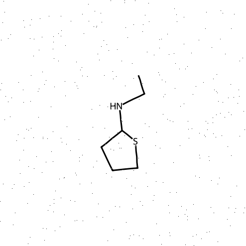 CCNC1CCCS1